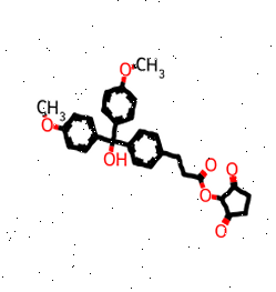 COc1ccc(C(O)(c2ccc(CCC(=O)OC3C(=O)CCC3=O)cc2)c2ccc(OC)cc2)cc1